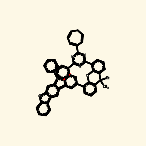 CCC1(C)c2cccc(-c3ccc4c(c3)c3cc5c(cc3n4-c3ccccc3)oc3ccccc35)c2Oc2c(-c3nc(C4=CC=CCC=C4)nc(-c4ccccc4)n3)cccc21